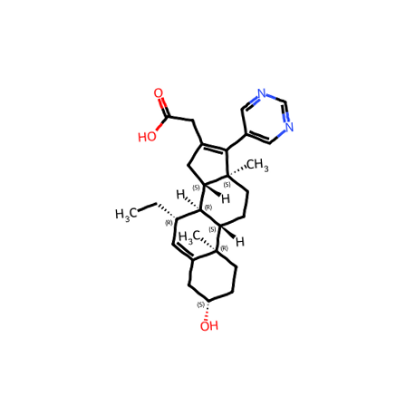 CC[C@H]1C=C2C[C@@H](O)CC[C@]2(C)[C@H]2CC[C@]3(C)C(c4cncnc4)=C(CC(=O)O)C[C@H]3[C@H]12